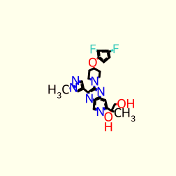 Cn1cc(-c2nc3cnc(C(C)(O)CO)cc3nc2N2CCC(Oc3ccc(F)cc3F)CC2)cn1